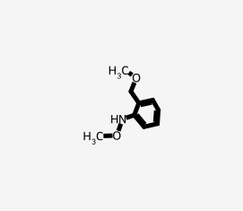 COCc1ccccc1NOC